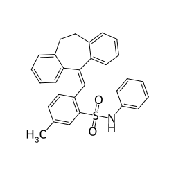 Cc1ccc(C=C2c3ccccc3CCc3ccccc32)c(S(=O)(=O)Nc2ccccc2)c1